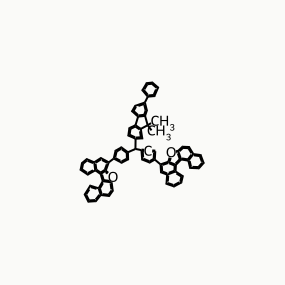 CC1(C)c2cc(-c3ccccc3)ccc2-c2ccc(C(c3ccc(-c4cc5ccccc5c5c4oc4ccc6ccccc6c45)cc3)c3ccc(-c4cc5ccccc5c5c4oc4ccc6ccccc6c45)cc3)cc21